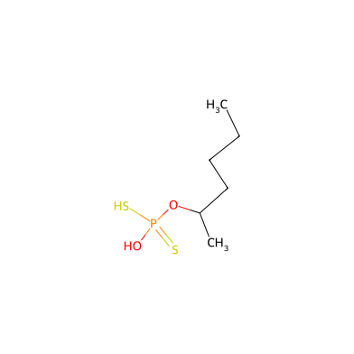 CCCCC(C)OP(O)(=S)S